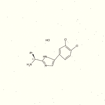 CC(C)[C@H](N)c1ncc(-c2ccc(Cl)c(Cl)c2)[nH]1.Cl